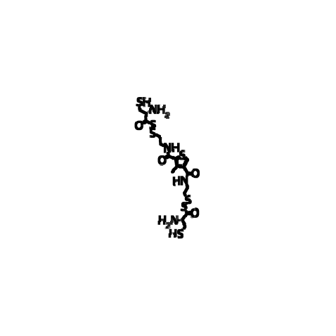 Cc1c(C(=O)NCCSSC(=O)[C@@H](N)CS)csc1C(=O)NCCSSC(=O)[C@@H](N)CS